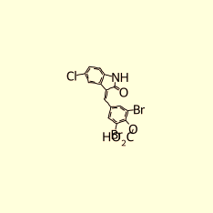 O=C(O)Oc1c(Br)cc(C=C2C(=O)Nc3ccc(Cl)cc32)cc1Br